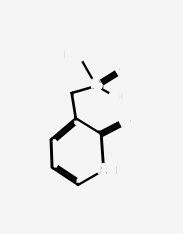 O=c1[nH]cccc1CP(=O)(O)O